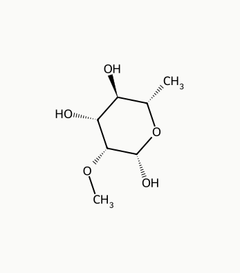 CO[C@@H]1[C@H](O)[C@@H](O)[C@H](C)O[C@@H]1O